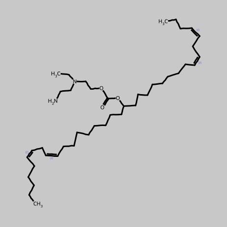 CCC/C=C\C/C=C\CCCCCCCCC(CCCCCCCC/C=C\C/C=C\CCCCC)OC(=O)OCCN(CC)CCN